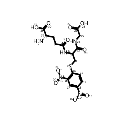 N[C@@H](CCC(=O)NC(CSc1ccc([N+](=O)[O-])cc1[N+](=O)[O-])C(=O)NCC(=O)O)C(=O)O